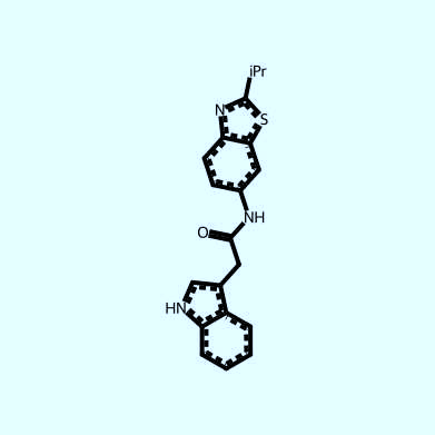 CC(C)c1nc2ccc(NC(=O)Cc3c[nH]c4ccccc34)cc2s1